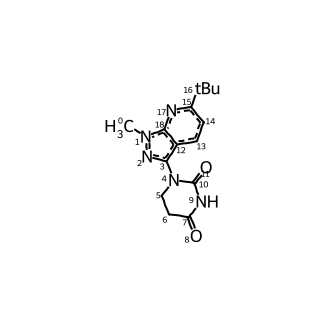 Cn1nc(N2CCC(=O)NC2=O)c2ccc(C(C)(C)C)nc21